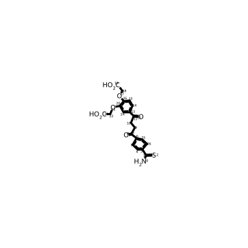 NC(=S)c1ccc(C(=O)CCC(=O)c2ccc(OCC(=O)O)c(OCC(=O)O)c2)cc1